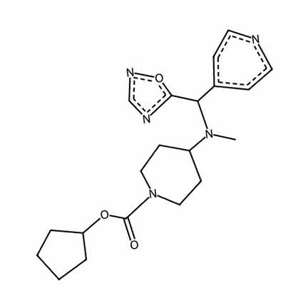 CN(C1CCN(C(=O)OC2CCCC2)CC1)C(c1ccncc1)c1ncno1